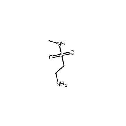 CNS(=O)(=O)CCN